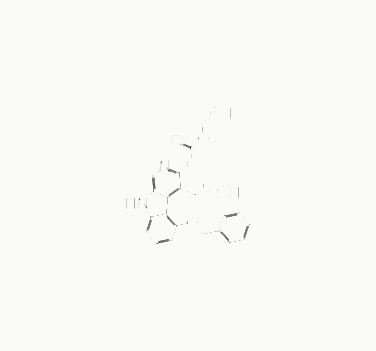 CCOC(=O)Oc1ncc2[nH]c3cccc(OCc4ccccc4)c3c2c1COC